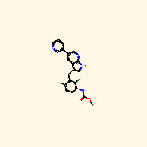 COC(=O)Nc1ccc(F)c(Cc2c[nH]c3ncc(-c4cccnc4)cc23)c1F